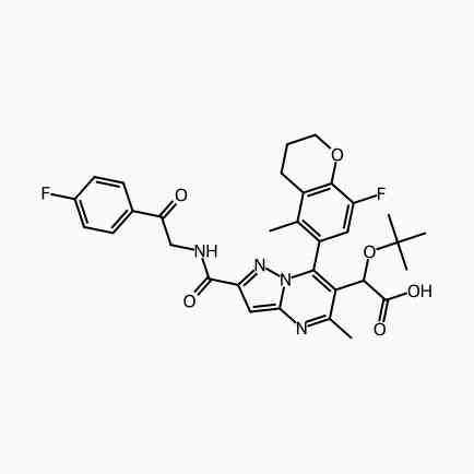 Cc1nc2cc(C(=O)NCC(=O)c3ccc(F)cc3)nn2c(-c2cc(F)c3c(c2C)CCCO3)c1C(OC(C)(C)C)C(=O)O